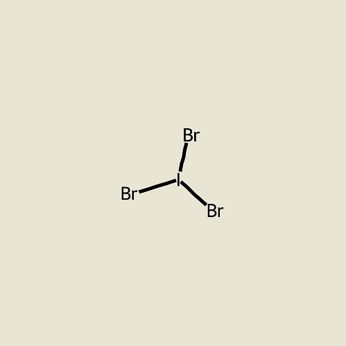 BrI(Br)Br